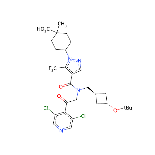 CC(C)(C)O[C@H]1C[C@H](CN(CC(=O)c2c(Cl)cncc2Cl)C(=O)c2cnn(C3CCC(C)(C(=O)O)CC3)c2C(F)(F)F)C1